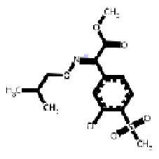 COC(=O)/C(=N/OCC(C)C)c1ccc(S(C)(=O)=O)c(Cl)c1